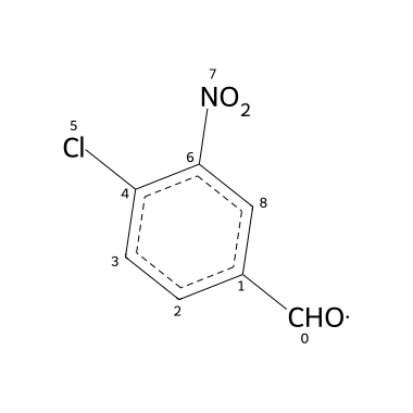 O=[C]c1ccc(Cl)c([N+](=O)[O-])c1